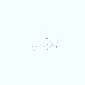 Cc1cc(=O)oc2cc(Oc3ncnc4c3c(-c3ccc(F)cc3)cn4-c3ccccc3F)ccc12